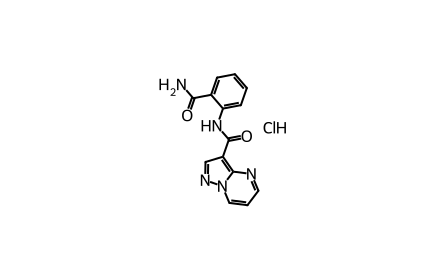 Cl.NC(=O)c1ccccc1NC(=O)c1cnn2cccnc12